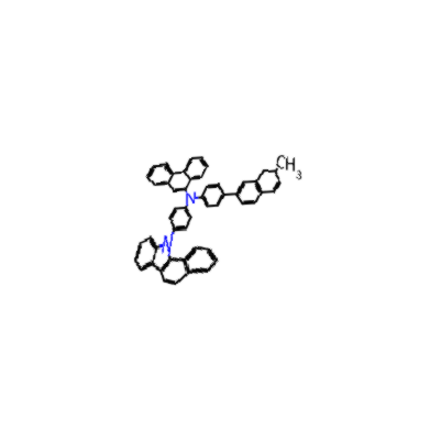 CC1C=Cc2ccc(-c3ccc(N(c4ccc(-n5c6ccccc6c6ccc7ccccc7c65)cc4)c4cc5ccccc5c5ccccc45)cc3)cc2C1